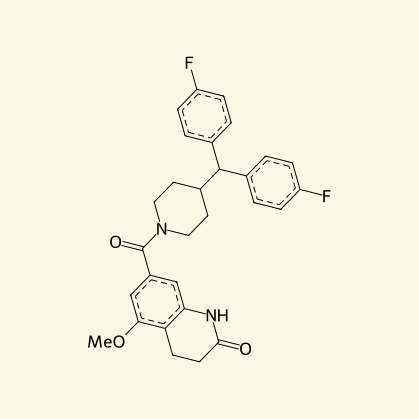 COc1cc(C(=O)N2CCC(C(c3ccc(F)cc3)c3ccc(F)cc3)CC2)cc2c1CCC(=O)N2